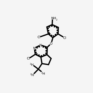 [2H]C([2H])([2H])C1CCc2c(Oc3c(Cl)cc(N)cc3Cl)nnc(Cl)c21